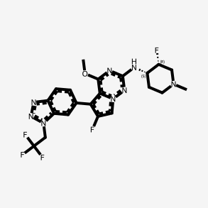 COc1nc(N[C@H]2CCN(C)C[C@H]2F)nn2cc(F)c(-c3ccc4nnn(CC(F)(F)F)c4c3)c12